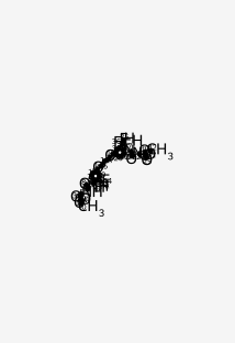 COS(=O)(=O)CNC(=O)Nc1ccc(OCCCOc2ccc(NC(=O)NCS(=O)(=O)OC)c(C(F)(F)F)c2)cc1C(F)(F)F